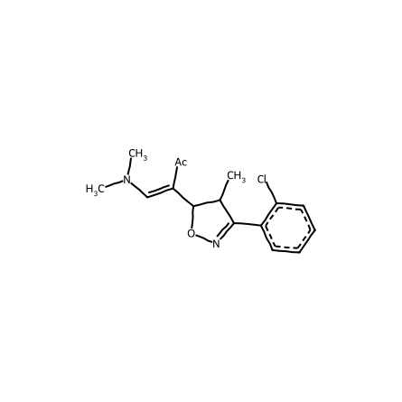 CC(=O)/C(=C\N(C)C)C1ON=C(c2ccccc2Cl)C1C